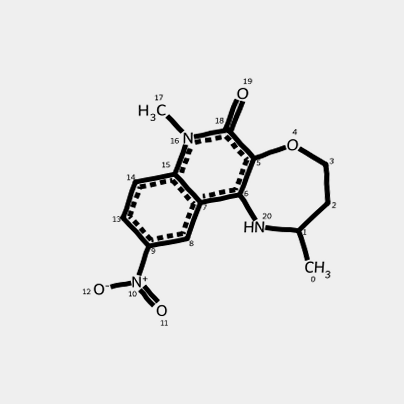 CC1CCOc2c(c3cc([N+](=O)[O-])ccc3n(C)c2=O)N1